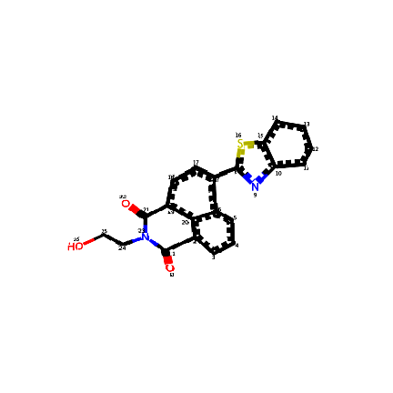 O=C1c2cccc3c(-c4nc5ccccc5s4)ccc(c23)C(=O)N1CCO